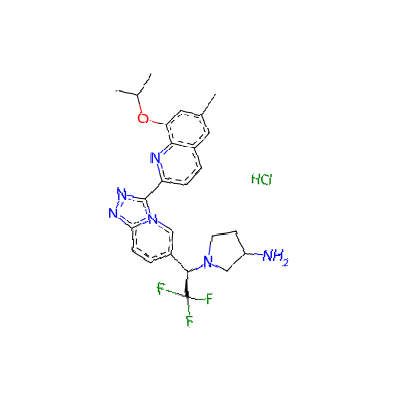 Cc1cc(OC(C)C)c2nc(-c3nnc4ccc([C@@H](N5CCC(N)C5)C(F)(F)F)cn34)ccc2c1.Cl